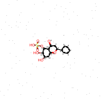 O=c1cc(-c2ccccc2)oc2cc(O)c(O)c(OS(=O)(=O)O)c12